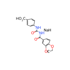 O=C(NC(=O)c1ccc2c(c1)OCCO2)Nc1ccc(C(=O)O)cc1.[NaH]